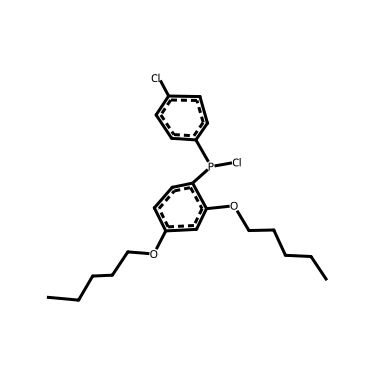 CCCCCOc1ccc(P(Cl)c2ccc(Cl)cc2)c(OCCCCC)c1